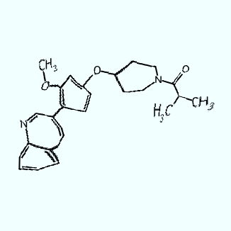 COc1cc(OC2CCN(C(=O)C(C)C)CC2)ccc1-c1cnc2ccccc2c1